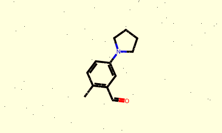 Cc1ccc(N2CCCC2)cc1C=O